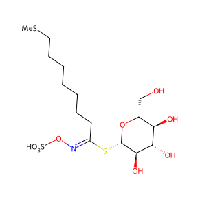 CSCCCCCCC/C(=N\OS(=O)(=O)O)S[C@@H]1O[C@H](CO)[C@@H](O)[C@H](O)[C@H]1O